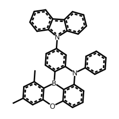 Cc1cc(C)c2c(c1)Oc1cccc3c1B2c1ccc(-n2c4ccccc4c4ccccc42)cc1N3c1ccccc1